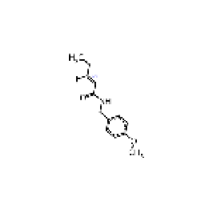 CC/C(I)=C/C(=O)NCc1ccc(OC)cc1